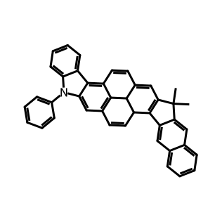 CC1(C)C2=C(c3cc4ccccc4cc31)C1C=Cc3cc4c(c5c3C1C(=C2)C=C5)c1ccccc1n4-c1ccccc1